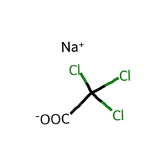 O=C([O-])C(Cl)(Cl)Cl.[Na+]